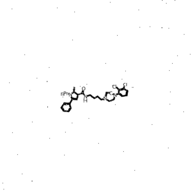 CCCN1C(c2ccccc2)=CC(C(=O)NCCCCN2CCN(c3cccc(Cl)c3Cl)CC2)C1C